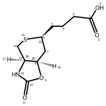 O=C(O)CCC[C@H]1C[C@H]2OC(=O)N[C@H]2CS1